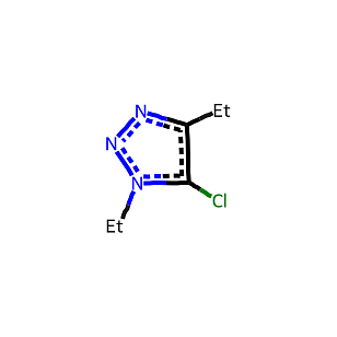 CCc1nnn(CC)c1Cl